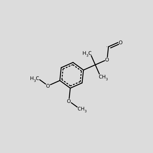 COc1ccc(C(C)(C)O[C]=O)cc1OC